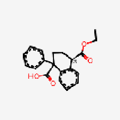 CCOC(=O)[C@@H]1CCC(C(=O)O)(c2ccccc2)c2ccccc21